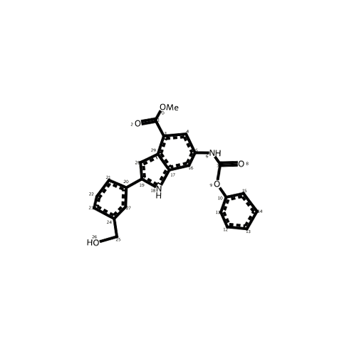 COC(=O)c1cc(NC(=O)Oc2ccccc2)cc2[nH]c(-c3cccc(CO)c3)cc12